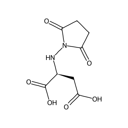 O=C(O)C[C@H](NN1C(=O)CCC1=O)C(=O)O